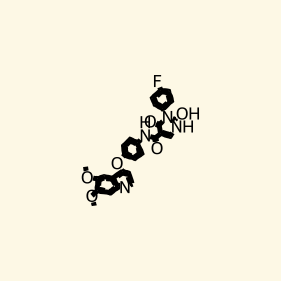 COc1cc2nccc(Oc3ccc(NC(=O)C4=CNC(O)N(c5ccc(F)cc5)C4=O)cc3)c2cc1OC